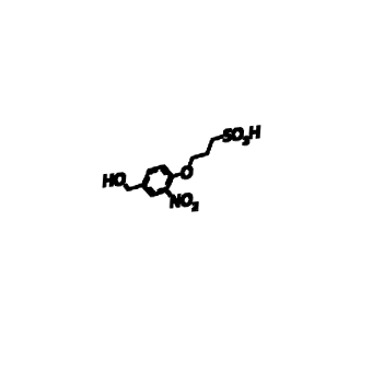 O=[N+]([O-])c1cc(CO)ccc1OCCCS(=O)(=O)O